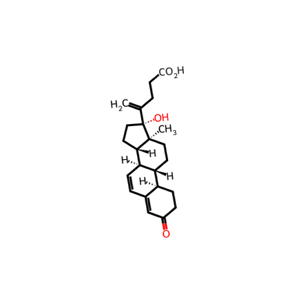 C=C(CCC(=O)O)[C@]1(O)CC[C@H]2[C@@H]3C=CC4=CC(=O)CC[C@@H]4[C@H]3CC[C@@]21C